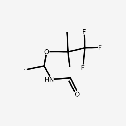 [CH2]C(NC=O)OC(C)(C)C(F)(F)F